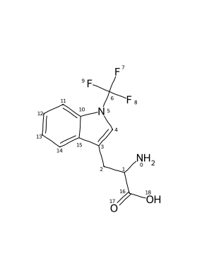 NC(Cc1cn(C(F)(F)F)c2ccccc12)C(=O)O